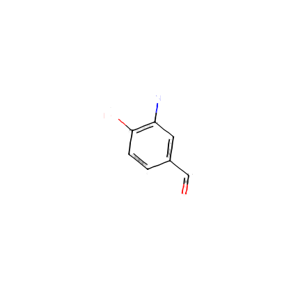 Nc1cc([C]=O)ccc1O